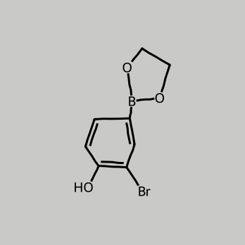 Oc1ccc(B2OCCO2)cc1Br